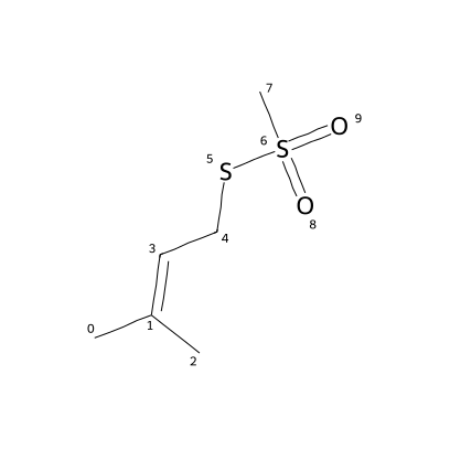 CC(C)=CCSS(C)(=O)=O